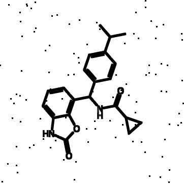 CC(C)c1ccc(C(NC(=O)C2CC2)c2cccc3[nH]c(=O)oc23)cc1